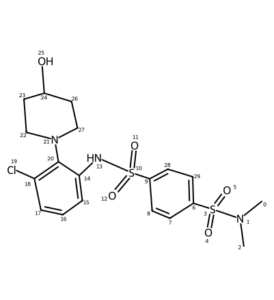 CN(C)S(=O)(=O)c1ccc(S(=O)(=O)Nc2cccc(Cl)c2N2CCC(O)CC2)cc1